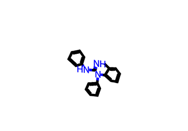 Cc1ccccc1N(C(=N)Nc1ccccc1)c1ccccc1